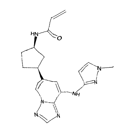 C=CC(=O)N[C@@H]1CC[C@H](c2cc(Nc3ccn(C)n3)c3ncnn3c2)C1